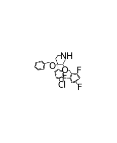 Fc1cc(F)c(COC2CNCC[C@]2(OCc2ccccc2)c2ccc(Cl)cc2)c(F)c1